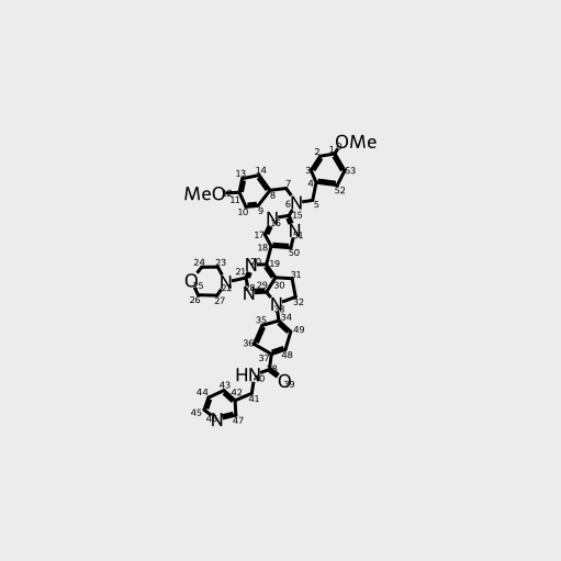 COc1ccc(CN(Cc2ccc(OC)cc2)c2ncc(-c3nc(N4CCOCC4)nc4c3CCN4c3ccc(C(=O)NCc4cccnc4)cc3)cn2)cc1